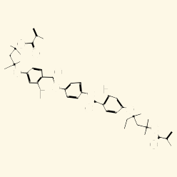 C=C(C)C(=O)OC(C)(C)CC(C)(C)Oc1ccc(C(=O)Oc2ccc(OC(=O)c3ccc(OC(C)(CC)CC(C)(C)OC(=O)C(=C)C)cc3F)cc2)c(F)c1